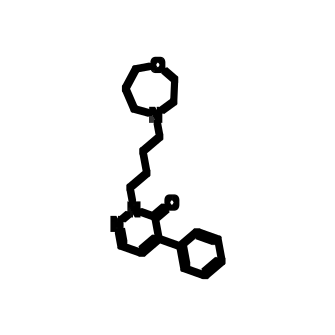 O=c1c(-c2ccccc2)ccnn1CCCCN1CCCOCC1